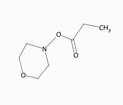 CCC(=O)ON1CCOCC1